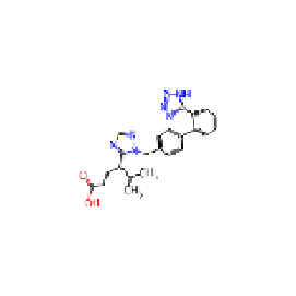 CC(C)C(CCC(=O)O)c1ncnn1Cc1ccc(-c2ccccc2-c2nnn[nH]2)cc1